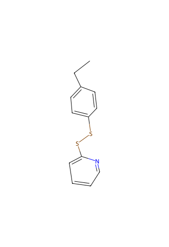 CCc1ccc(SSc2ccccn2)cc1